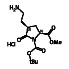 COC(=O)[C@@H]1C[C@H](CCN)C(=O)N1C(=O)OC(C)(C)C.Cl